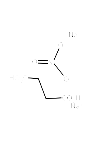 O=C(O)CCC(=O)O.O=[Si]([O-])[O-].[Na+].[Na+]